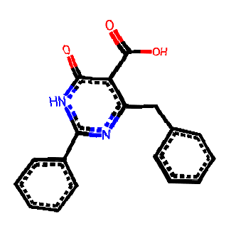 O=C(O)c1c(Cc2ccccc2)nc(-c2ccccc2)[nH]c1=O